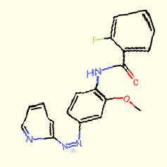 COc1cc(/N=N\c2ccccn2)ccc1NC(=O)c1ccccc1F